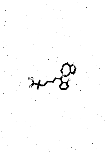 CC(C)(CCCCC(c1ccccc1Cl)N1CCCc2sccc2C1)C(=O)O